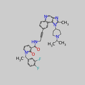 Cc1nc2cnc3ccc(C#CCNC(=O)c4cccn([C@@H](C)c5ccc(F)c(F)c5)c4=O)cc3c2n1C1CCN(C(C)C)CC1